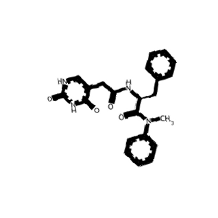 CN(C(=O)[C@H](Cc1ccccc1)NC(=O)Cc1c[nH]c(=O)[nH]c1=O)c1ccccc1